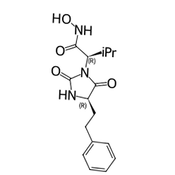 CC(C)[C@H](C(=O)NO)N1C(=O)N[C@H](CCc2ccccc2)C1=O